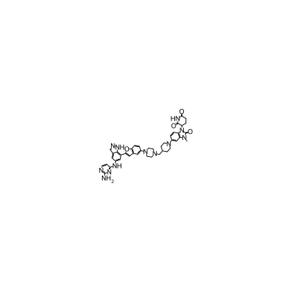 Cn1c(=O)n(C2CCC(=O)NC2=O)c2ccc(N3CCC(CN4CCN(c5ccc6oc(-c7cc(Nc8ccnc(N)n8)cc8cn[nH]c78)cc6c5)CC4)CC3)cc21